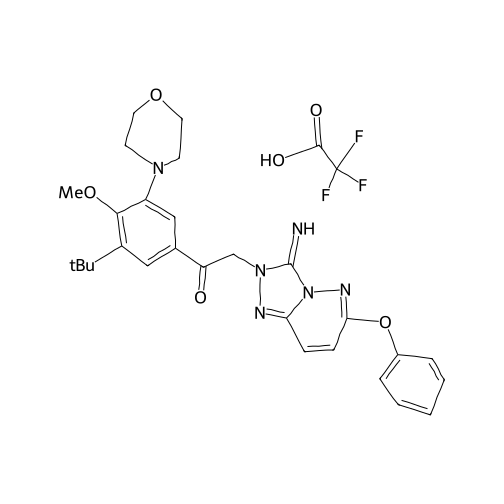 COc1c(N2CCOCC2)cc(C(=O)Cn2nc3ccc(Oc4ccccc4)nn3c2=N)cc1C(C)(C)C.O=C(O)C(F)(F)F